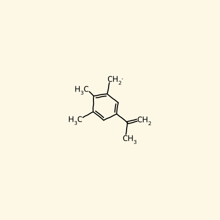 [CH2]c1cc(C(=C)C)cc(C)c1C